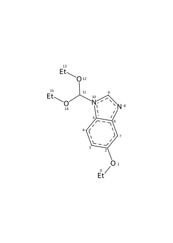 CCOc1ccc2c(c1)ncn2C(OCC)OCC